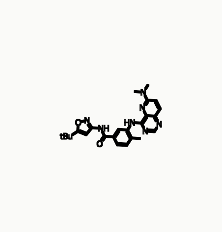 Cc1ccc(C(=O)Nc2cc(C(C)(C)C)on2)cc1Nc1ncnc2ccc(N(C)C)nc12